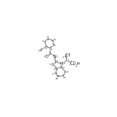 CCC(C(=O)O)n1/c(=N/C(=O)c2ccccc2F)sc2ccccc21